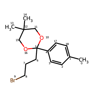 Cc1ccc(C2(CCCBr)OCC(C)(C)CO2)cc1